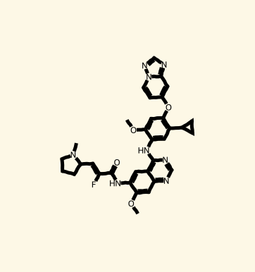 COc1cc2ncnc(Nc3cc(C4CC4)c(Oc4ccn5ncnc5c4)cc3OC)c2cc1NC(=O)/C(F)=C/C1CCCN1C